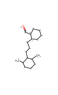 CC1CCCC(C)C1CCCC1CCCCC1C=O